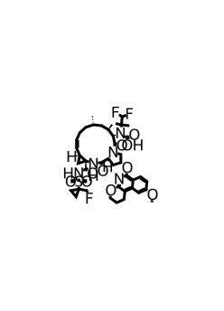 COc1ccc2c(O[C@@H]3C[C@H]4C(=O)N[C@]5(C(=O)NS(=O)(=O)C6(CF)CC6)C[C@H]5C=CCC[C@H](C)C[C@@H](C)[C@H](N(C(=O)O)C(C)(C)C(F)F)C(=O)N4C3)nc3c(c2c1)CCCO3